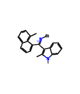 CC/N=C(\c1c(C)n(C)c2ccccc12)c1cccc2cccc(C)c12